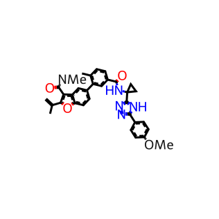 C=C(C)c1oc2ccc(-c3cc(C(=O)NC4(c5nnc(-c6ccc(OC)cc6)[nH]5)CC4)ccc3C)cc2c1C(=O)NC